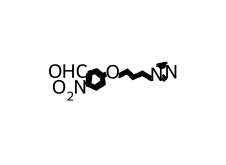 O=Cc1cc(OCCCCCn2ccnc2)ccc1[N+](=O)[O-]